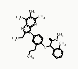 CCCc1cc(-n2c(CC)nc3c(C)c(C)c(C)nc32)ccc1OC(C(=O)OC)c1ccccc1C